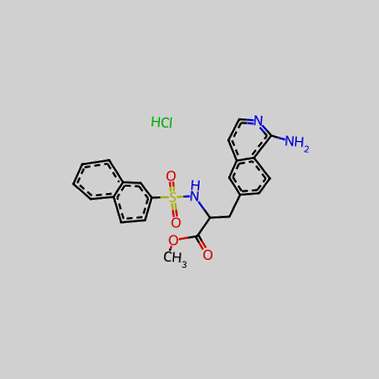 COC(=O)C(Cc1ccc2c(N)nccc2c1)NS(=O)(=O)c1ccc2ccccc2c1.Cl